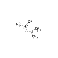 CC(C)S[S+](C)[O-]